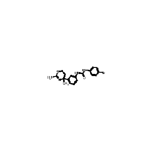 CC1(c2cccc(NC(=O)Nc3ccc(Br)cc3)c2)CCSC(N)=N1